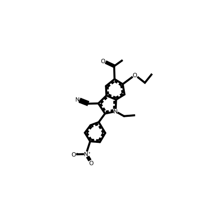 CCOc1cc2c(cc1C(C)=O)c(C#N)c(-c1ccc([N+](=O)[O-])cc1)n2CC